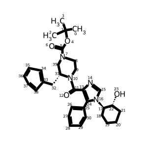 CC(C)(C)OC(=O)N1CCN(C(=O)c2ncn([C@@H]3CCCC[C@H]3O)c2-c2ccccc2)[C@H](Cc2ccccc2)C1